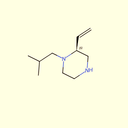 C=C[C@H]1CNCCN1CC(C)C